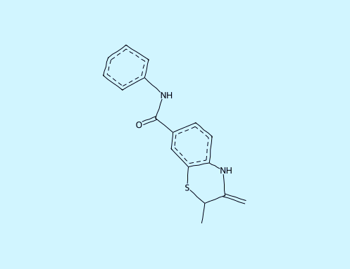 C=C1Nc2ccc(C(=O)Nc3ccccc3)cc2SC1C